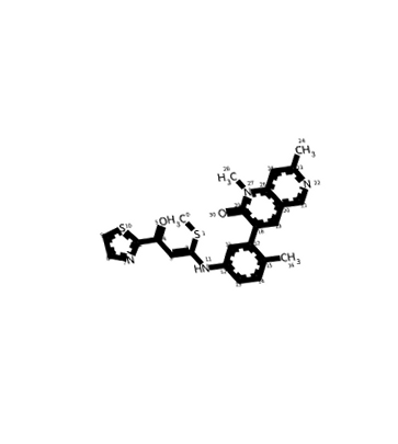 CSC(=CC(=O)c1nccs1)Nc1ccc(C)c(-c2cc3cnc(C)cc3n(C)c2=O)c1